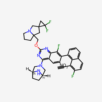 C#Cc1c(F)ccc2cccc(-c3c([N+](=O)[O-])cc4c(N5C[C@H]6CC[C@@H](C5)N6)nc(OCC56CCCN5CC5(C6)CC5(F)F)nc4c3F)c12